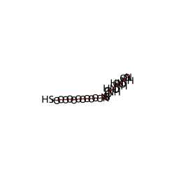 C=NOCC(=O)NCC(=O)NCC(=O)NCC(=O)NCCNC(=O)OCc1cn(CCOCCOCCOCCOCCOCCOCCOCCOCCOCCOCCOCCC(C)(C)S)nn1